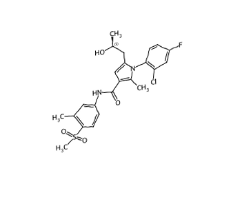 Cc1cc(NC(=O)c2cc(C[C@H](C)O)n(-c3ccc(F)cc3Cl)c2C)ccc1S(C)(=O)=O